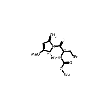 C=C1C=C(OC)[C@@H](CCC)N1C(=O)[C@@H](CC(C)C)NC(=O)OC(C)(C)C